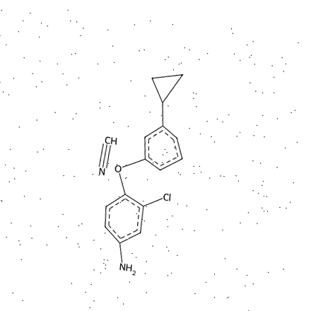 C#N.Nc1ccc(Oc2cccc(C3CC3)c2)c(Cl)c1